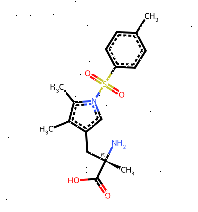 Cc1ccc(S(=O)(=O)n2cc(C[C@](C)(N)C(=O)O)c(C)c2C)cc1